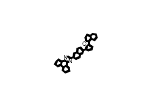 C1=Cc2c(ccc3oc4c(-c5ccc6cc(-c7cnc8c9ccccc9c9ccccc9c8n7)ccc6c5)cccc4c23)CC1